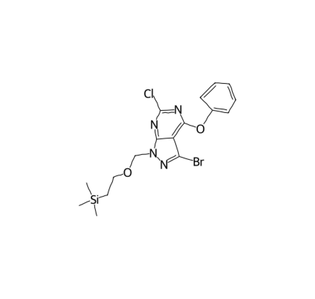 C[Si](C)(C)CCOCn1nc(Br)c2c(Oc3ccccc3)nc(Cl)nc21